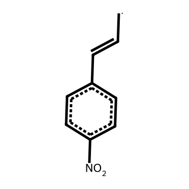 [CH2]C=Cc1ccc([N+](=O)[O-])cc1